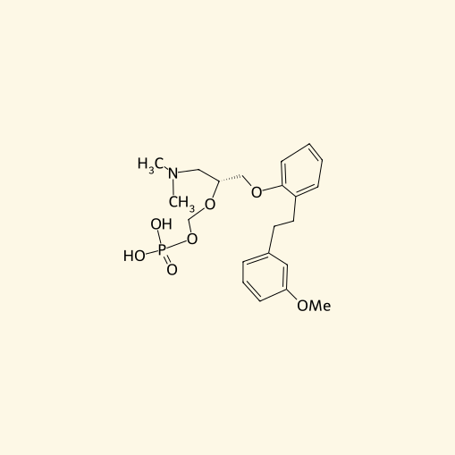 COc1cccc(CCc2ccccc2OC[C@@H](CN(C)C)OCOP(=O)(O)O)c1